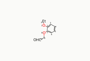 CCOc1ccccc1OCC=O